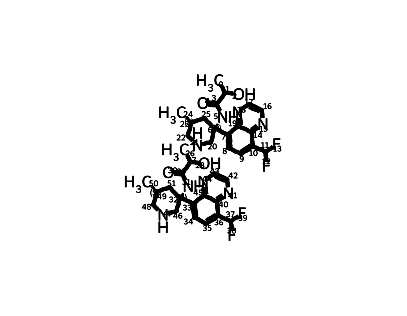 CC(O)C(=O)N[C@]1(c2ccc(C(F)F)c3nccnc23)CNC[C@@H](C)C1.CC(O)C(=O)N[C@]1(c2ccc(C(F)F)c3nccnc23)CNC[C@@H](C)C1